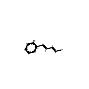 CC=[C]C=Cc1ccccc1